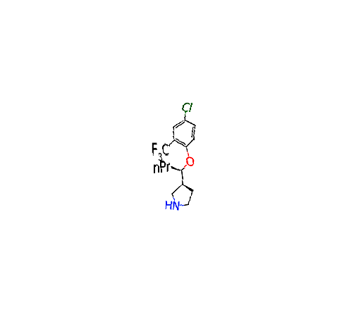 CCC[C@@H](Oc1ccc(Cl)cc1C(F)(F)F)[C@H]1CCNC1